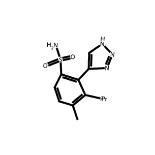 Cc1ccc(S(N)(=O)=O)c(-c2c[nH]nn2)c1C(C)C